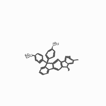 Cc1ccc2c(c1)C(C)c1cc3c(cc1-2)C(c1ccc(C(C)(C)C)cc1)(c1ccc(C(C)(C)C)cc1)c1ccccc1-3